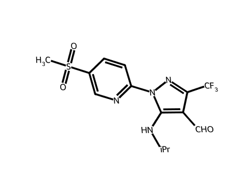 CC(C)Nc1c(C=O)c(C(F)(F)F)nn1-c1ccc(S(C)(=O)=O)cn1